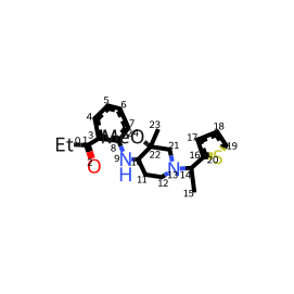 CCC(=O)c1ccccc1NC1CCN(C(C)c2cccs2)CC1(C)OC